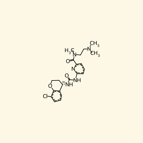 CN(C)CCN(C)C(=O)c1cccc(NC(=O)N[C@H]2CCOc3c(Cl)cccc32)n1